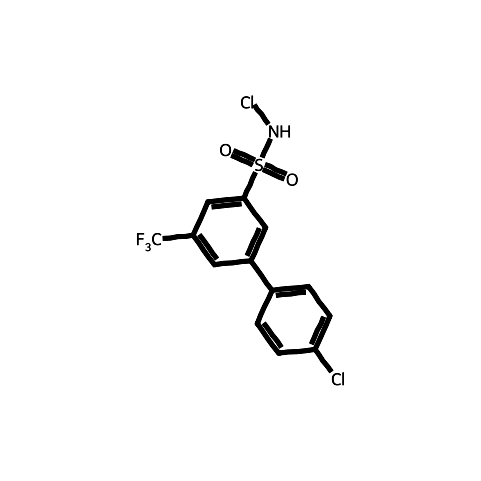 O=S(=O)(NCl)c1cc(-c2ccc(Cl)cc2)cc(C(F)(F)F)c1